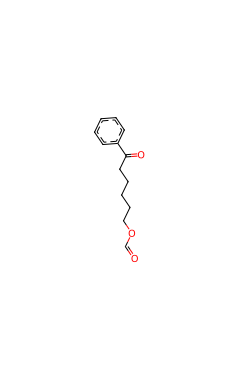 O=COCCCCCC(=O)c1ccccc1